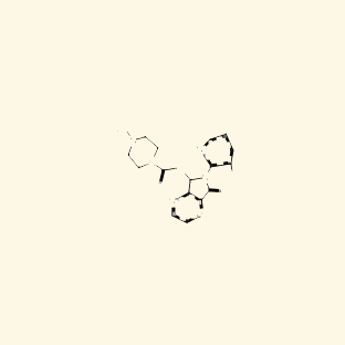 CN1CCN(C(=O)OC2c3nccnc3C(=O)N2c2ncccc2Cl)CC1